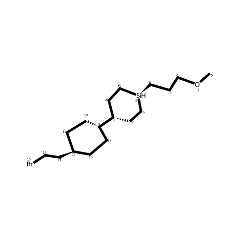 COCCC[Si@H]1CC[C@H]([C@H]2CC[C@H](CCBr)CC2)CC1